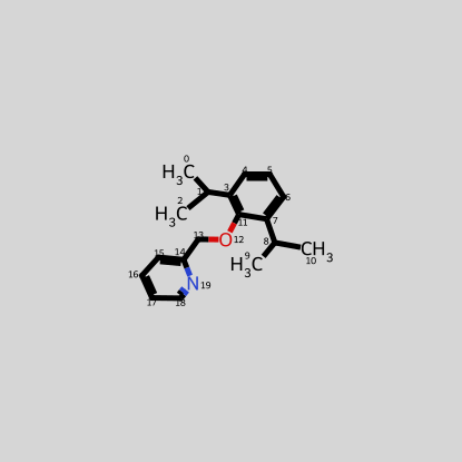 CC(C)c1cccc(C(C)C)c1OCc1ccccn1